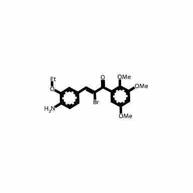 CCOc1cc(C=C(Br)C(=O)c2cc(OC)cc(OC)c2OC)ccc1N